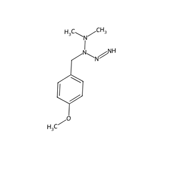 COc1ccc(CN(N=N)N(C)C)cc1